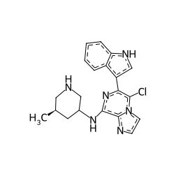 C[C@H]1CNCC(Nc2nc(-c3c[nH]c4ccccc34)c(Cl)n3ccnc23)C1